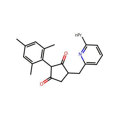 CCCc1cccc(CC2CC(=O)C(c3c(C)cc(C)cc3C)C2=O)n1